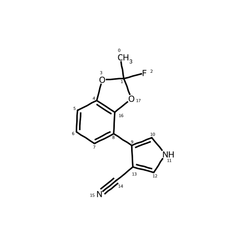 CC1(F)Oc2cccc(-c3c[nH]cc3C#N)c2O1